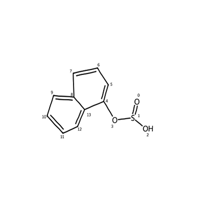 O=S(O)Oc1cccc2ccccc12